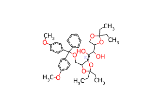 CCC1(CC)O/C(=C(/O)C(O)C2COC(CC)(CC)O2)C(COC(c2ccccc2)(c2ccc(OC)cc2)c2ccc(OC)cc2)O1